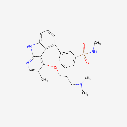 CNS(=O)(=O)c1cccc(-c2cccc3[nH]c4ncc(C)c(OCCCN(C)C)c4c23)c1